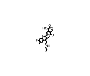 CCCNCCc1c2c(nc3cc(F)c(C)cc13)-c1cc3c(c(=O)n1C2)COC(=O)[C@H]3O